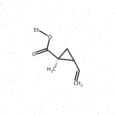 C=CC1C[C@]1(C)C(=O)OCC